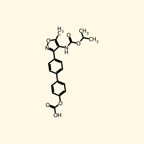 Cc1onc(-c2ccc(-c3ccc(OC(=O)O)cc3)cc2)c1NC(=O)OC(C)C